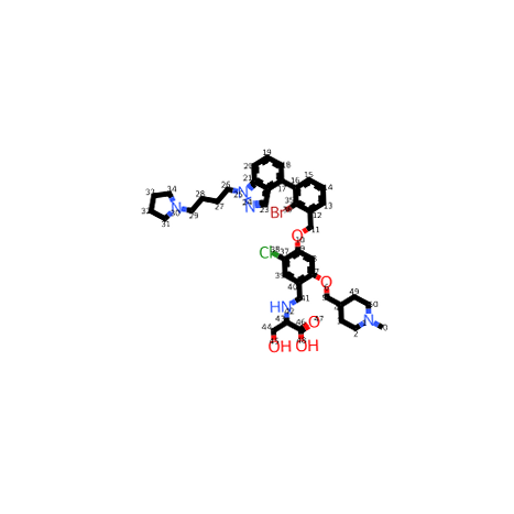 CN1CCC(COc2cc(OCc3cccc(-c4cccc5c4cnn5CCCCN4CCCC4)c3Br)c(Cl)cc2CNC(CO)C(=O)O)CC1